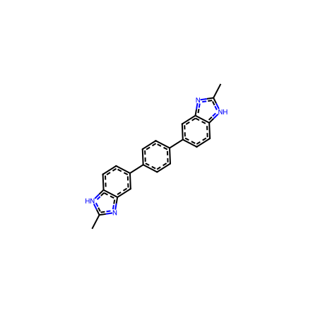 Cc1nc2cc(-c3ccc(-c4ccc5[nH]c(C)nc5c4)cc3)ccc2[nH]1